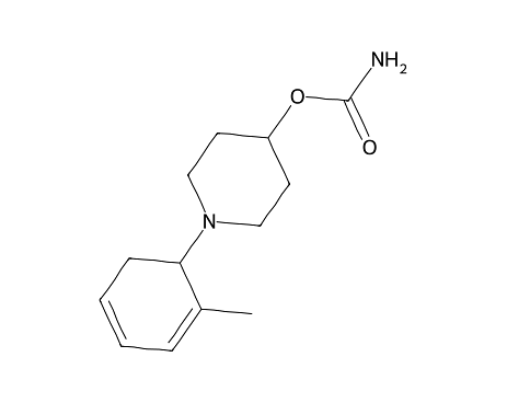 CC1=CC=CCC1N1CCC(OC(N)=O)CC1